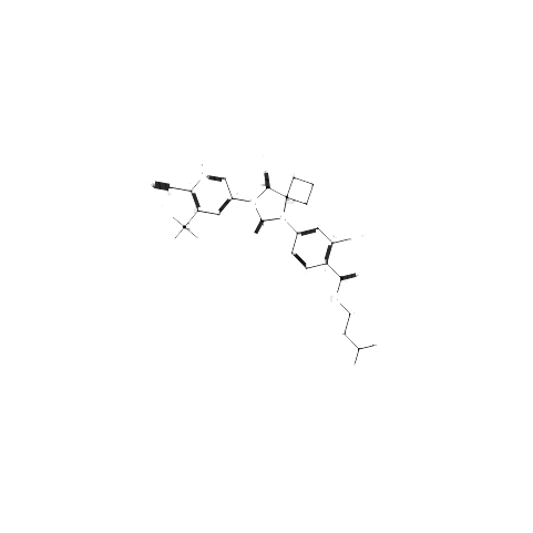 CC(C)CCNC(=O)c1ccc(N2C(=S)N(c3cnc(C#N)c(C(F)(F)F)c3)C(=O)C23CCC3)cc1F